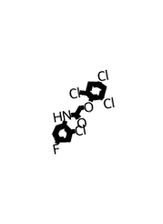 O=C(COc1c(Cl)cc(Cl)cc1Cl)Nc1ccc(F)cc1Cl